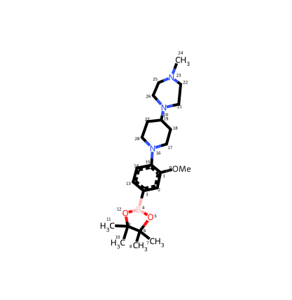 COc1cc(B2OC(C)(C)C(C)(C)O2)ccc1N1CCC(N2CCN(C)CC2)CC1